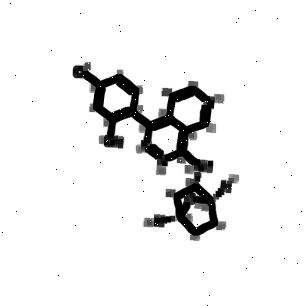 Oc1cc(Cl)ccc1-c1nnc(N[C@H]2C[C@@H]3CC[C@H]2O3)c2cnccc12